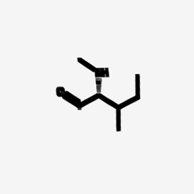 CCC(C)[C@H]([C]=O)NC